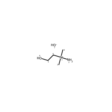 C[N+](C)(N)CCO.[OH-]